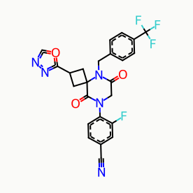 N#Cc1ccc(N2CC(=O)N(Cc3ccc(C(F)(F)F)cc3)C3(CC(c4nnco4)C3)C2=O)c(F)c1